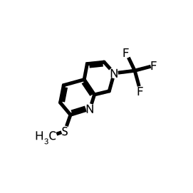 CSc1ccc2c(n1)CN(C(F)(F)F)C=C2